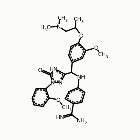 COc1cc(C(Nc2ccc(C(=N)N)cc2)c2nn(-c3ccccc3OC)c(=O)[nH]2)ccc1OC(C)CN(C)C